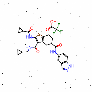 O=C(NCC1CC1)c1c(NC(=O)C2CC2)sc2c1CC(C(=O)Nc1ccc3[nH]ncc3c1)CC2.O=C(O)C(F)(F)F